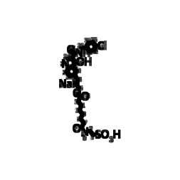 CN(CCS(=O)(=O)O)C(=O)CCCCCCC(=O)OCCCc1ccc2ncc(C(=O)NCc3ccc(Cl)cc3)c(O)c2c1.[NaH]